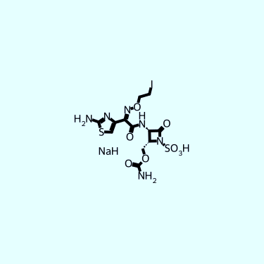 NC(=O)OC[C@@H]1[C@H](NC(=O)/C(=N\OCCI)c2csc(N)n2)C(=O)N1S(=O)(=O)O.[NaH]